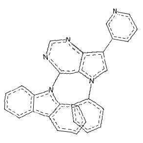 c1ccc(-n2cc(-c3cccnc3)c3ncnc(-n4c5ccccc5c5ccccc54)c32)cc1